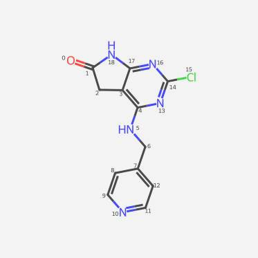 O=C1Cc2c(NCc3ccncc3)nc(Cl)nc2N1